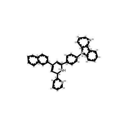 C1=C(c2ccc3ccccc3c2)C=C(c2ccc(-n3c4ccccc4c4ncccc43)cc2)NC1c1ccccn1